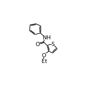 CCOc1ccsc1C(=O)Nc1ccccc1